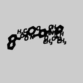 COC(=O)[C@@H]1[C@H](NC(=O)c2cc(OC3CCC(C)(C(=O)OCc4cccc5ccccc45)CC3)c(C#N)cc2OC)[C@@H]2C=C[C@H]1C2